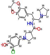 O=C(NC(Cc1ccc2c(c1)OCCO2)CN1CCCC1)C1CCN(c2ccc(O)c(Cl)c2)C1